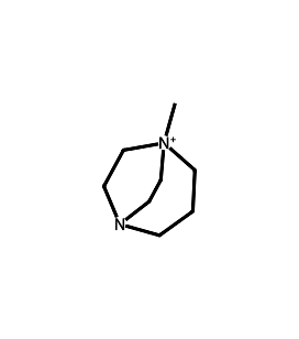 C[N+]12CCCN(CC1)CC2